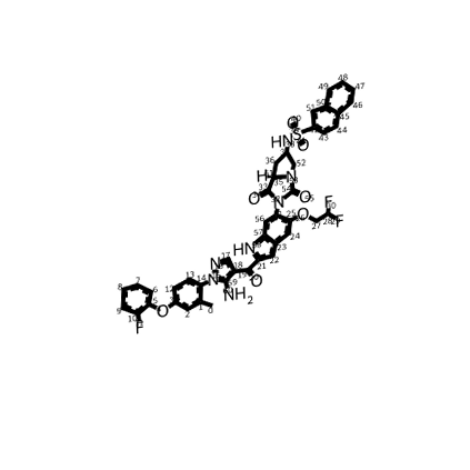 Cc1cc(Oc2ccccc2F)ccc1-n1ncc(C(=O)c2cc3cc(OCC(F)F)c(N4C(=O)[C@@H]5CC(NS(=O)(=O)c6ccc7ccccc7c6)CN5C4=O)cc3[nH]2)c1N